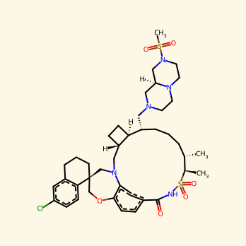 C[C@@H]1[C@@H](C)CCC[C@@H](CN2CCN3CCN(S(C)(=O)=O)C[C@@H]3C2)[C@@H]2CC[C@H]2CN2C[C@@]3(CCCc4cc(Cl)ccc43)COc3ccc(cc32)C(=O)NS1(=O)=O